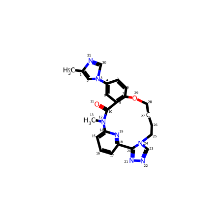 Cc1cn(-c2ccc3c(c2)C(=O)N(C)c2cccc(n2)-c2nncn2CCCCO3)cn1